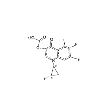 Cc1c(F)c(F)cc2c1c(=O)c(OC(=O)O)cn2[C@@H]1C[C@@H]1F